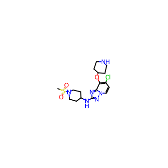 CS(=O)(=O)N1CCC(Nc2nc3c(OC4CCNCC4)c(Cl)ccn3n2)CC1